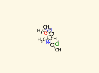 C#Cc1ccc(-n2nc(C)c(Cc3ccccc3C(=O)NC(C)C)c2C)cc1Cl